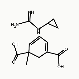 CC1(C(=O)O)C=CC=C(C(=O)O)C1.N=C(N)NC1CC1